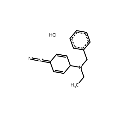 CCN(Cc1ccccc1)C1C=CC(=[N+]=[N-])C=C1.Cl